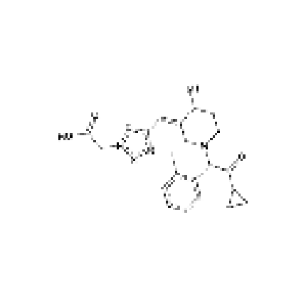 O=C(O)Cn1nnc(/C=C2\CN(C(C(=O)C3CC3)c3ccccc3F)CCC2S)n1